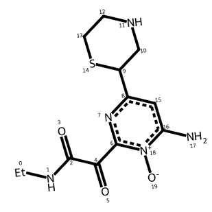 CCNC(=O)C(=O)c1nc(C2CNCCS2)cc(N)[n+]1[O-]